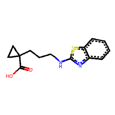 O=C(O)C1(CCCNc2nc3ccccc3s2)CC1